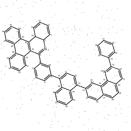 C1=CC2N=C(c3cccc(-c4ccc(-c5ccc6ccc7ccc(-c8ccccc8)nc7c6n5)c5ccccc45)c3)c3c(c4ccccc4c4ccccc34)C2C=C1